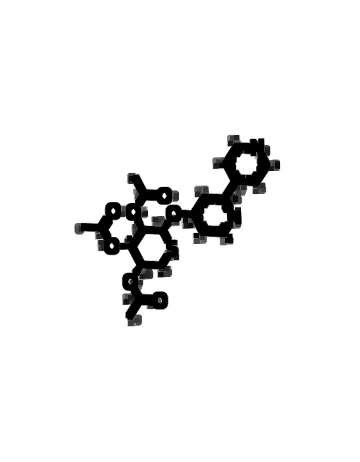 CC(=O)O[C@@H]1[C@@H](OC(C)=O)[C@@H](Oc2ccnc(-c3ccncc3)c2)SC[C@H]1OC(C)=O